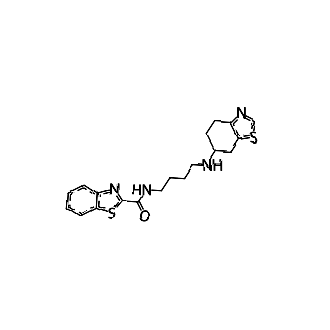 O=C(NCCCCNC1CCc2ncsc2C1)c1nc2ccccc2s1